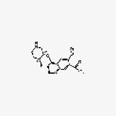 CC(C)Oc1cc2c(O[C@H]3CNCC[C@@H]3F)ccnc2cc1C(N)=O